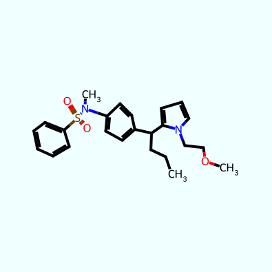 CCCC(c1ccc(N(C)S(=O)(=O)c2ccccc2)cc1)c1cccn1CCOC